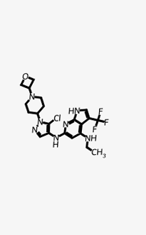 CCNc1cc(Nc2cnn(C3CCN(C4COC4)CC3)c2Cl)nc2[nH]cc(C(F)(F)F)c12